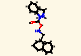 O=C(ONCc1cccc2ccccc12)n1ncc2ccccc21